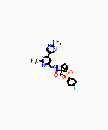 O=C(NCc1cc(-c2cnc(C(F)(F)F)nc2)nc(C(F)(F)F)n1)[C@@H]1C2CC(C2)C1S(=O)(=O)c1ccc(F)cc1